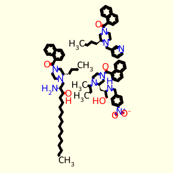 CCC(C)N1CCN(C(=O)c2cccc3ccccc23)C[C@@H]1C[C@H](CO)NCc1ccc([N+](=O)[O-])cc1.CCCCCCCCCCCCCCC(O)[C@H](N)CN1CCN(C(=O)c2cccc3ccccc23)C[C@@H]1CCCC.CCCC[C@H]1CN(C(=O)c2cccc3ccccc23)CCN1Cc1cccnc1